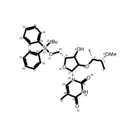 CO[C@H](C)[C@@H](C)OC1C(O)[C@@H](CO[Si](c2ccccc2)(c2ccccc2)C(C)(C)C)O[C@H]1n1cc(C)c(=O)[nH]c1=O